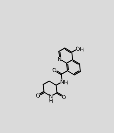 O=C1CCC(NC(=O)c2cccc3c(O)ccnc23)C(=O)N1